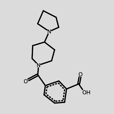 O=C(O)c1cccc(C(=O)N2CCC(N3CCCC3)CC2)c1